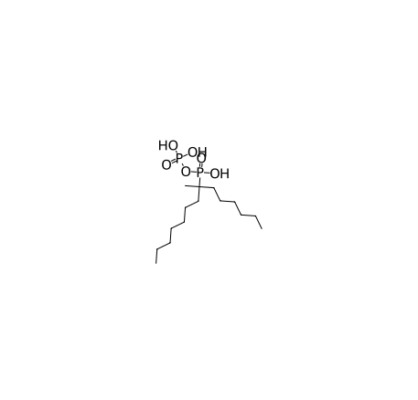 CCCCCCCC(C)(CCCCCC)P(=O)(O)OP(=O)(O)O